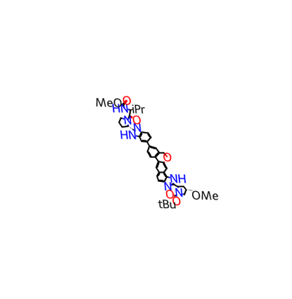 COC[C@H]1CC(c2nc3ccc4cc5c(cc4c3[nH]2)OCc2cc(-c3ccc4nc([C@@H]6CCCN6C(=O)[C@@H](NC(=O)OC)C(C)C)[nH]c4c3)ccc2-5)N(C(=O)OC(C)(C)C)C1